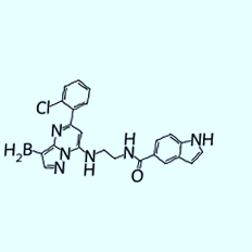 Bc1cnn2c(NCCNC(=O)c3ccc4[nH]ccc4c3)cc(-c3ccccc3Cl)nc12